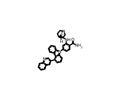 NC(=O)c1ccc(-n2c3ccccc3c3c(-c4cnc5ccccc5c4)cccc32)cc1N[C@H]1CN2CCC1CC2